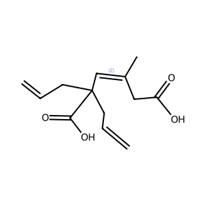 C=CCC(/C=C(/C)CC(=O)O)(CC=C)C(=O)O